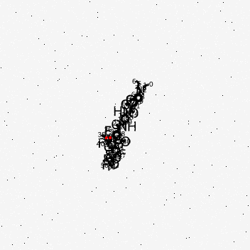 CCCN(CCC)c1ccc2cc(C(=O)NC3CCC(NC(=O)c4ccc5c(c4)C(=O)OC54c5cc(F)c(C)c(F)c5Oc5c4cc(F)c(OS(=O)(=O)C(F)(F)F)c5F)CC3)c(=O)oc2c1